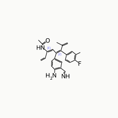 C=C/C(=C\C(=C(/C(=C)C)c1ccc(F)c(C)c1)c1ccc(N)c(C=N)c1)NC(C)=O